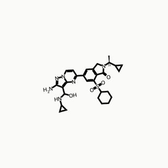 C[C@@H](C1CC1)N1Cc2cc(-c3ccn4nc(N)c(C(O)NC5CC5)c4n3)cc(S(=O)(=O)C3CCCCC3)c2C1=O